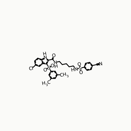 Cc1cc(C)cc(S(=O)(=O)c2c(C(=O)NCCCCCNS(=O)(=O)c3ccc(C#N)cc3)[nH]c3ccc(Cl)cc23)c1